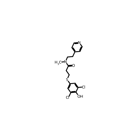 CN(CCc1ccncc1)C(=O)CCSc1cc(Cl)c(O)c(Cl)c1